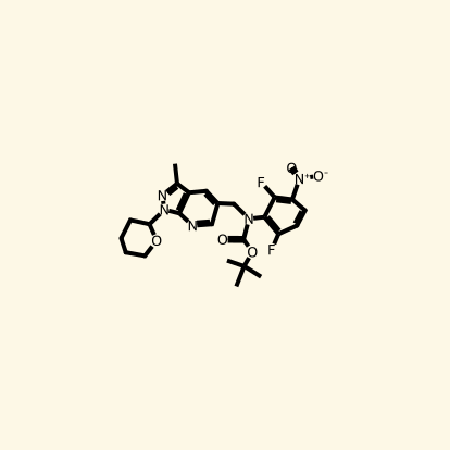 Cc1nn(C2CCCCO2)c2ncc(CN(C(=O)OC(C)(C)C)c3c(F)ccc([N+](=O)[O-])c3F)cc12